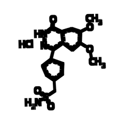 COc1cc2c(-c3ccc(CS(N)(=O)=O)cc3)n[nH]c(=O)c2cc1OC.Cl